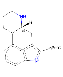 CCCCCc1[nH]c2cccc3c2c1C[C@H]1NCCCC31